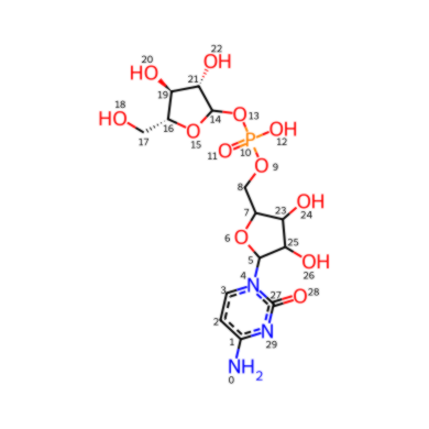 Nc1ccn(C2OC(COP(=O)(O)OC3O[C@H](CO)[C@@H](O)[C@@H]3O)C(O)C2O)c(=O)n1